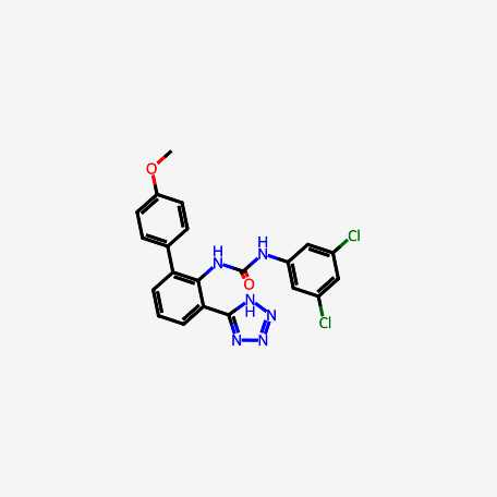 COc1ccc(-c2cccc(-c3nnn[nH]3)c2NC(=O)Nc2cc(Cl)cc(Cl)c2)cc1